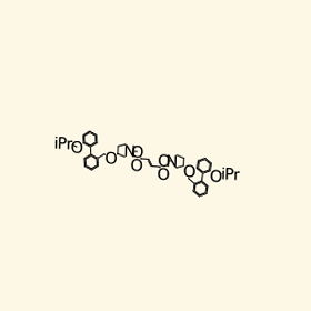 CC(C)Oc1ccccc1-c1ccccc1CO[C@H]1CCN(OC(=O)/C=C/C(=O)ON2CC[C@H](OCc3ccccc3-c3ccccc3OC(C)C)C2)C1